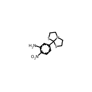 Nc1cc(C23SCCN2CCS3)ccc1[N+](=O)[O-]